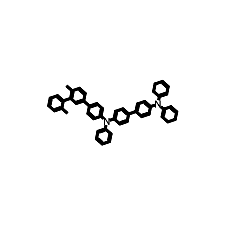 Cc1ccccc1-c1cc(-c2ccc(N(c3ccccc3)c3ccc(-c4ccc(N(C5=CCCC=C5)C5=CC=CCC5)cc4)cc3)cc2)ccc1C